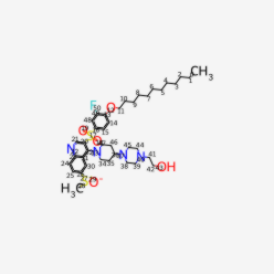 CCCCCCCCCCCCOc1ccc(S(=O)(=O)c2cnc3ccc([S+](C)[O-])cc3c2N2CCC(N3CCN(CCO)CC3)CC2)cc1F